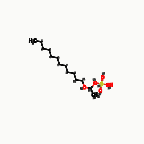 CCCCCCCCCCCCOC(C)OS(=O)(=O)O